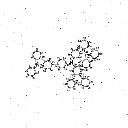 c1ccc(-n2c3ccccc3c3cc(-c4ccc(N(c5ccc6c7ccccc7c7ccccc7c6c5)c5cccc6c5-c5ccccc5C65c6ccccc6-c6ccccc65)cc4)ccc32)cc1